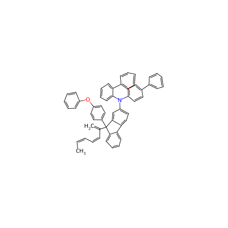 C=C(/C=C\C=C/C)C1(c2ccc(Oc3ccccc3)cc2)c2ccccc2-c2ccc(N(c3ccc(-c4ccccc4)cc3)c3ccccc3-c3ccccc3)cc21